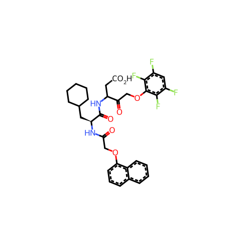 O=C(O)CC(NC(=O)[C@H](CC1CCCCC1)NC(=O)COc1cccc2ccccc12)C(=O)COc1c(F)c(F)cc(F)c1F